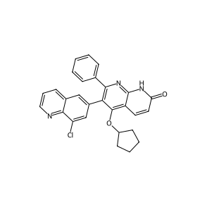 O=c1ccc2c(OC3CCCC3)c(-c3cc(Cl)c4ncccc4c3)c(-c3ccccc3)nc2[nH]1